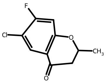 CC1CC(=O)c2cc(Cl)c(F)cc2O1